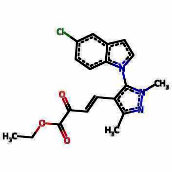 CCOC(=O)C(=O)C=Cc1c(C)nn(C)c1-n1ccc2cc(Cl)ccc21